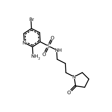 Nc1ncc(Br)cc1S(=O)(=O)NCCCN1CCCC1=O